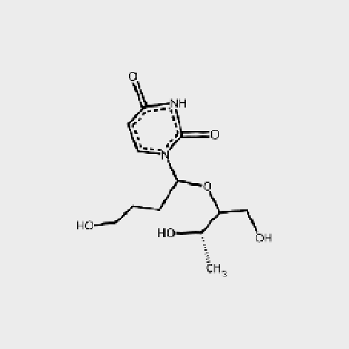 C[C@H](O)C(CO)OC(CCCO)n1ccc(=O)[nH]c1=O